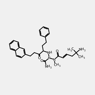 CN(C(=O)/C=C/CC(C)(C)N)N(NC(CCc1ccccc1)C(=O)CCc1ccc2ccccc2c1)C(N)=O